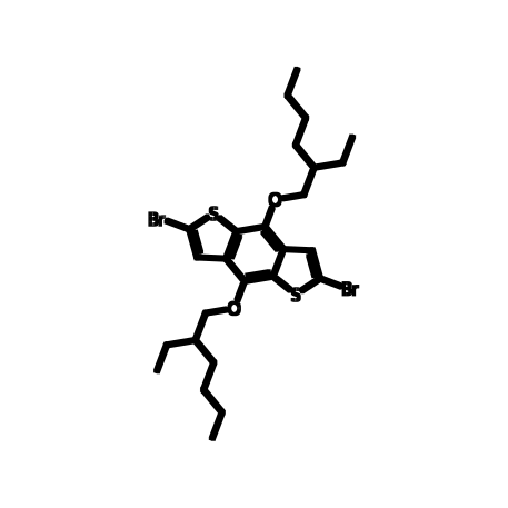 CCCCC(CC)COc1c2cc(Br)sc2c(OCC(CC)CCCC)c2cc(Br)sc12